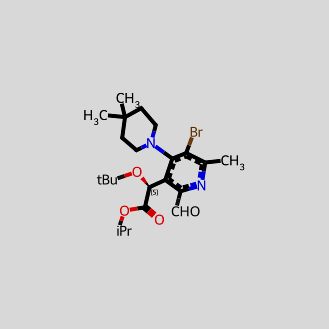 Cc1nc(C=O)c([C@H](OC(C)(C)C)C(=O)OC(C)C)c(N2CCC(C)(C)CC2)c1Br